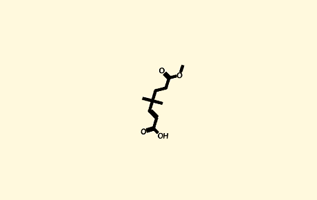 COC(=O)CCC(C)(C)C=CC(=O)O